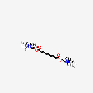 C[N+](C)(C)CCOC(=O)CCCCCCCC(=O)OCC[N+](C)(C)C